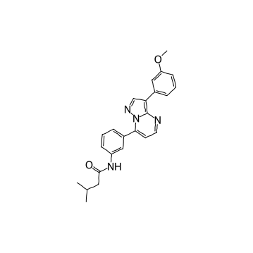 COc1cccc(-c2cnn3c(-c4cccc(NC(=O)CC(C)C)c4)ccnc23)c1